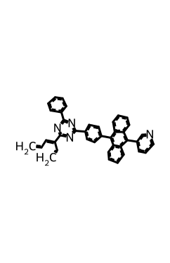 C=C/C=C(\C=C)c1nc(-c2ccccc2)nc(-c2ccc(-c3c4ccccc4c(-c4cccnc4)c4ccccc34)cc2)n1